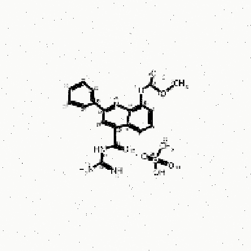 COC(C)Oc1cccc2c(C(=O)NC(=N)N)cc(-c3ccccc3)nc12.CS(=O)(=O)O